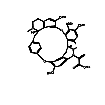 COC(=O)C(=O)N1c2cc(OC)c3cc2C[C@@H](c2c(C)cc(OC)c(OC)c2Oc2cc4c(cc2OC)CCN(C)[C@H]4Cc2ccc(cc2)O3)N1C